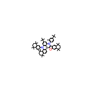 Cc1cc(C(C)(C)C)ccc1N1c2cc(C(C)(C)C)cc3c2B(c2ccc4c(c2N3c2ccc3c(c2)C(C)(C)CCC3(C)C)C(C)(C)CCC4(C)C)c2oc3cc4c(cc3c21)C(C)(C)CCC4(C)C